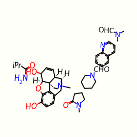 CC(C)C(N)=O.CN(C)C=O.CN1CCCC1=O.CN1CC[C@]23c4c5ccc(O)c4O[C@H]2[C@@H](O)C=C[C@H]3[C@H]1C5.O=CN1CCCCC1.c1ccc2ncccc2c1